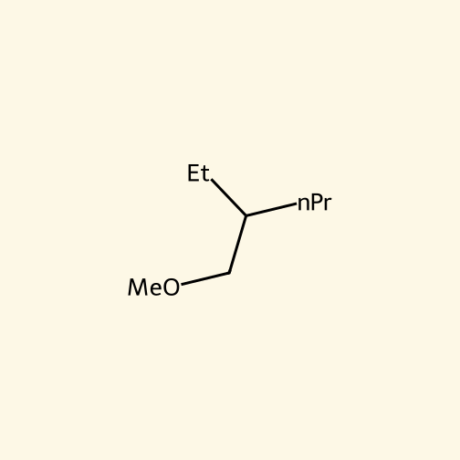 CCCC(CC)COC